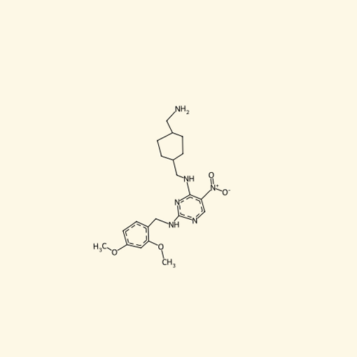 COc1ccc(CNc2ncc([N+](=O)[O-])c(NCC3CCC(CN)CC3)n2)c(OC)c1